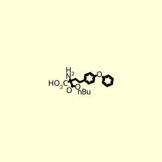 CCCCOC(=O)C(N)(CCc1ccc(Oc2ccccc2)cc1)C(=O)O